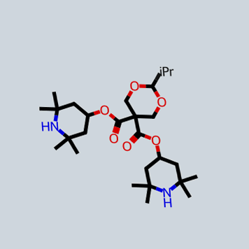 CC(C)C1OCC(C(=O)OC2CC(C)(C)NC(C)(C)C2)(C(=O)OC2CC(C)(C)NC(C)(C)C2)CO1